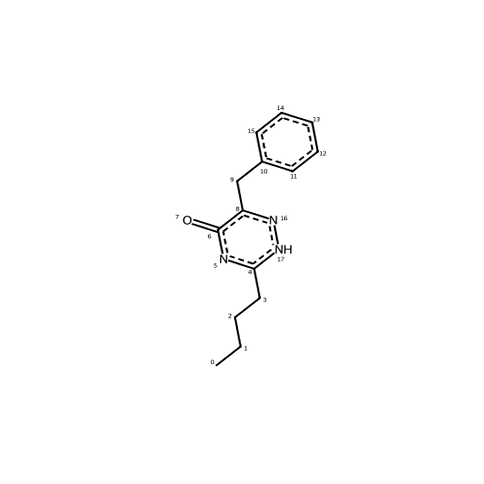 CCCCc1nc(=O)c(Cc2ccccc2)n[nH]1